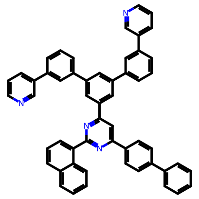 c1ccc(-c2ccc(-c3cc(-c4cc(-c5cccc(-c6cccnc6)c5)cc(-c5cccc(-c6cccnc6)c5)c4)nc(-c4cccc5ccccc45)n3)cc2)cc1